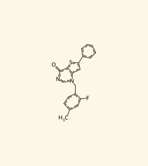 Cc1ccc(Cn2cnc(=O)c3sc(-c4ccccc4)cc32)c(F)c1